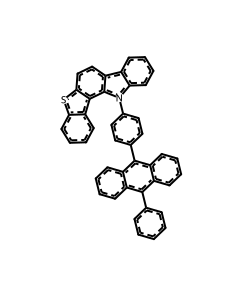 c1ccc(-c2c3ccccc3c(-c3ccc(-n4c5ccccc5c5ccc6sc7ccccc7c6c54)cc3)c3ccccc23)cc1